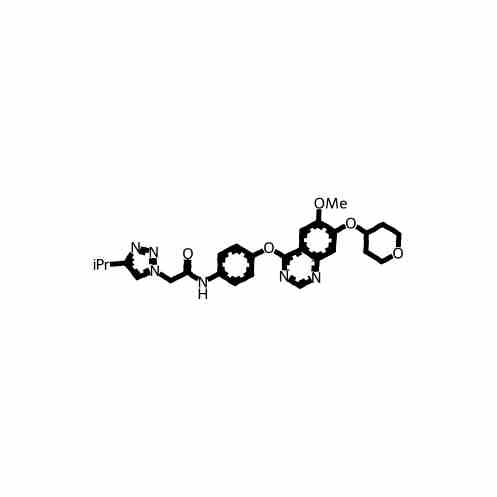 COc1cc2c(Oc3ccc(NC(=O)Cn4cc(C(C)C)nn4)cc3)ncnc2cc1OC1CCOCC1